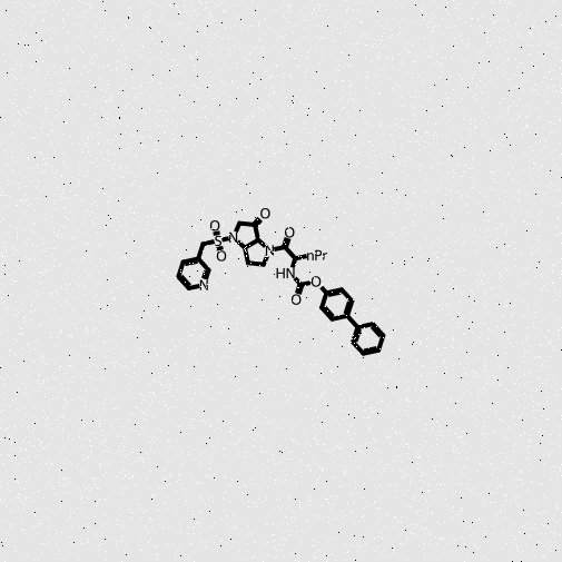 CCCC(NC(=O)Oc1ccc(-c2ccccc2)cc1)C(=O)N1CCC2C1C(=O)CN2S(=O)(=O)Cc1cccnc1